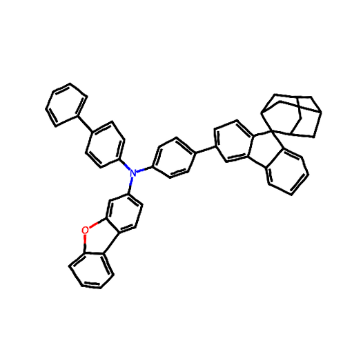 c1ccc(-c2ccc(N(c3ccc(-c4ccc5c(c4)-c4ccccc4C54C5CC6CC(C5)CC4C6)cc3)c3ccc4c(c3)oc3ccccc34)cc2)cc1